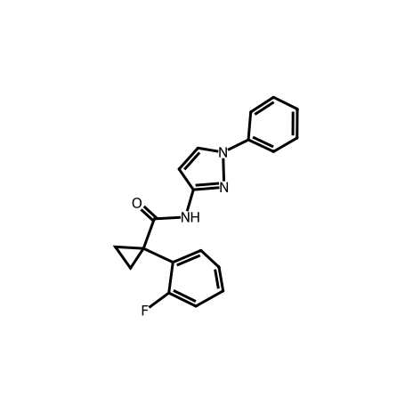 O=C(Nc1ccn(-c2ccccc2)n1)C1(c2ccccc2F)CC1